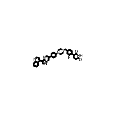 O=C1CCC(c2ccc(CN3CCN(c4ccc(-c5cnc6c(-c7ccnc8ccccc78)cnn6c5)cc4)CC3)cc2F)C(=O)N1